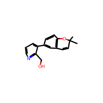 CC1(C)C=Cc2cc(-c3cccnc3CO)ccc2O1